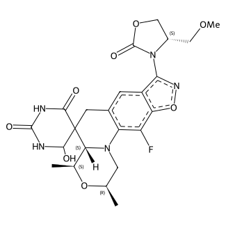 COC[C@H]1COC(=O)N1c1noc2c(F)c3c(cc12)CC1(C(=O)NC(=O)NC1O)[C@H]1[C@H](C)O[C@H](C)CN31